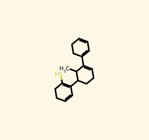 CC1C(C2=CC=CCC2)=CCCC1C1=C(S)CCC=C1